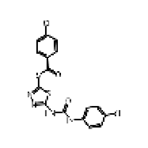 O=C(Nc1ccc(Cl)cc1)Nc1nnc(SC(=O)c2ccc(Cl)cc2)s1